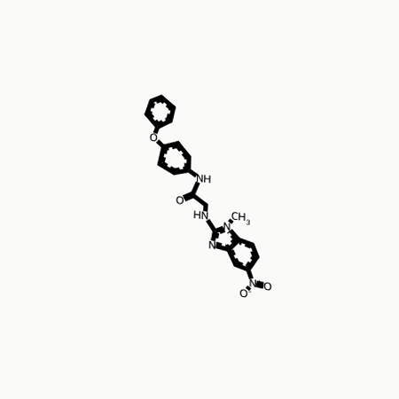 Cn1c(NCC(=O)Nc2ccc(Oc3ccccc3)cc2)nc2cc([N+](=O)[O-])ccc21